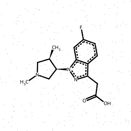 C[C@@H]1CN(C)C[C@@H]1n1nc(CC(=O)O)c2ccc(F)cc21